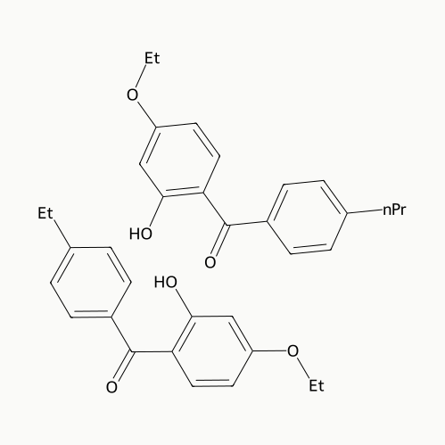 CCCc1ccc(C(=O)c2ccc(OCC)cc2O)cc1.CCOc1ccc(C(=O)c2ccc(CC)cc2)c(O)c1